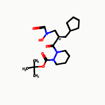 CC(C)(C)OC(=O)N1CCCCN1C(=O)[C@H](CC1CCCC1)CN(O)C=O